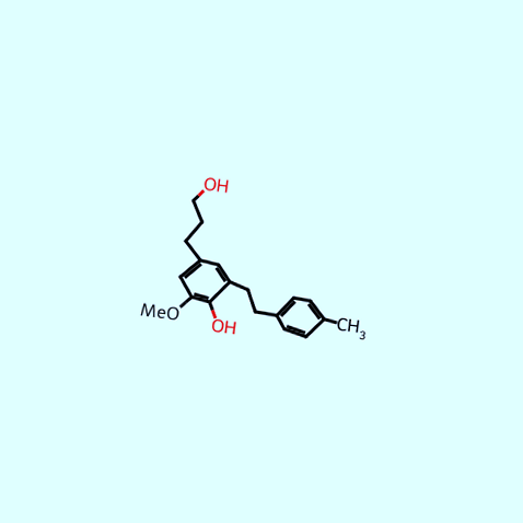 COc1cc(CCCO)cc(CCc2ccc(C)cc2)c1O